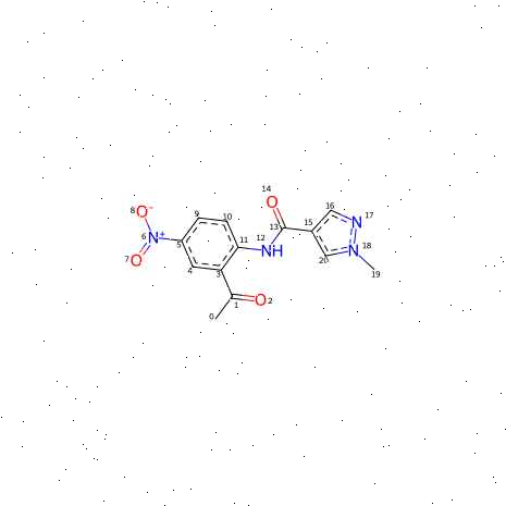 CC(=O)c1cc([N+](=O)[O-])ccc1NC(=O)c1cnn(C)c1